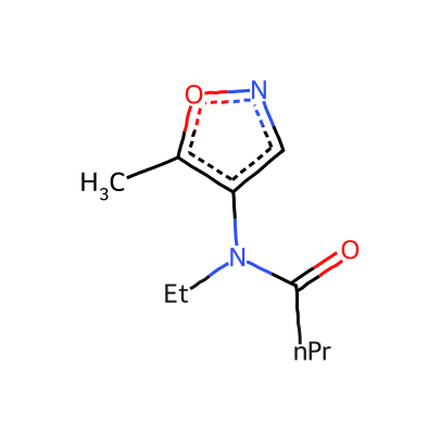 CCCC(=O)N(CC)c1cnoc1C